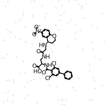 O=C(CN[C@@H]1CCOc2ccc([N+](=O)[O-])cc21)NCC(NC(=O)c1c(Cl)cc(-c2ccccc2)cc1Cl)C(=O)O